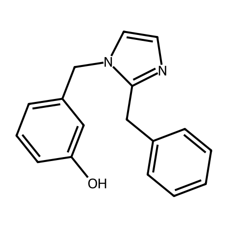 Oc1cccc(Cn2ccnc2Cc2ccccc2)c1